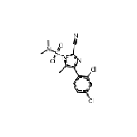 Cc1c(-c2ccc(Cl)cc2Cl)nc(C#N)n1S(=O)(=O)N(C)C